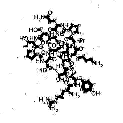 CC(C)C[C@H](NC(=O)[C@@H](NC(=O)[C@@H]1CCCN1C(=O)[C@@H](NC(=O)[C@H](CO)NC(=O)[C@@H](NC(=O)[C@H](CCC(N)=O)NC(=O)[C@@H]1CCCN1C(=O)[C@@H](NC(=O)[C@H](CCCCN)NC(=O)[C@H](CCCCN)NC(=O)[C@@H](NC(=O)[C@H](Cc1ccc(O)cc1)NC(=O)[C@@H](N)CCCN=C(N)N)[C@@H](C)O)C(C)C)C(C)C)[C@@H](C)O)[C@@H](C)O)C(=O)O